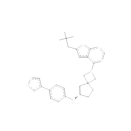 FC(F)(F)Cc1cc2c(N3CC4(CC[C@@H](Nc5ccc(-c6cn[nH]c6)cc5)C4)C3)ncnc2s1